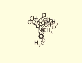 COc1ccc(CN([C@H]2CC(COC(C)=O)N(C(=O)OCCCl)[C@H]2CO[Si](C)(C)C(C)(C)C)S(C)(=O)=O)cc1